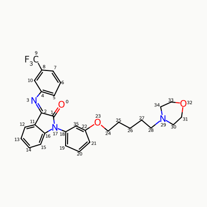 O=C1C(=Nc2cccc(C(F)(F)F)c2)c2ccccc2N1c1cccc(OCCCCCN2CCOCC2)c1